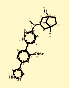 COc1cc(-c2cn[nH]c2)ccc1-c1ccc(N(C)[C@H]2C[C@@H]3CC[C@@H](C3)C2)nn1